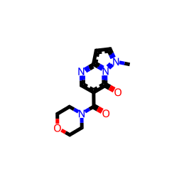 Cn1ccc2ncc(C(=O)N3CCOCC3)c(=O)n21